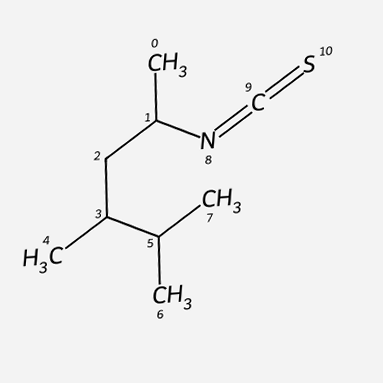 CC(CC(C)C(C)C)N=C=S